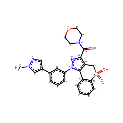 Cn1cc(-c2cccc(-n3nc(C(=O)N4CCOCC4)c4c3-c3ccccc3S(=O)(=O)C4)c2)cn1